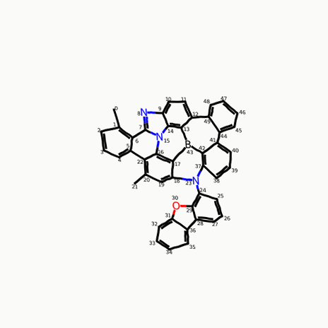 Cc1cccc2c1c1nc3ccc4c5c3n1c1c3c(cc(C)c21)N(c1cccc2c1oc1ccccc12)c1cccc(c1B53)-c1ccccc1-4